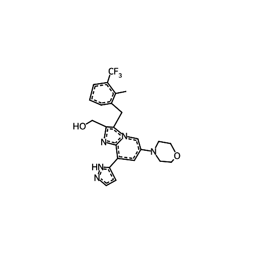 Cc1c(Cc2c(CO)nc3c(-c4ccn[nH]4)cc(N4CCOCC4)cn23)cccc1C(F)(F)F